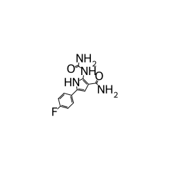 NC(=O)Nc1[nH]c(-c2ccc(F)cc2)cc1C(N)=O